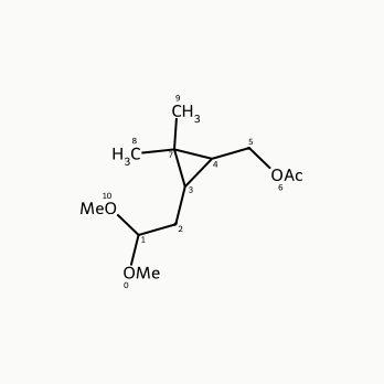 COC(CC1C(COC(C)=O)C1(C)C)OC